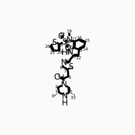 C[C@@H]1CN(C(=O)CC2CN=C(c3cc4cccc(N(C)S(=O)(=O)c5cccs5)c4[nH]3)S2)C[C@H](C)N1